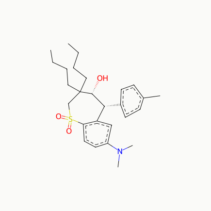 CCCCC1(CCCC)CS(=O)(=O)c2ccc(N(C)C)cc2[C@@H](c2ccc(C)cc2)[C@H]1O